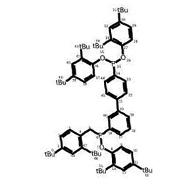 CC(C)(C)c1ccc(CP(Oc2ccc(C(C)(C)C)cc2C(C)(C)C)c2cccc(-c3ccc(P(Oc4ccc(C(C)(C)C)cc4C(C)(C)C)Oc4ccc(C(C)(C)C)cc4C(C)(C)C)cc3)c2)c(C(C)(C)C)c1